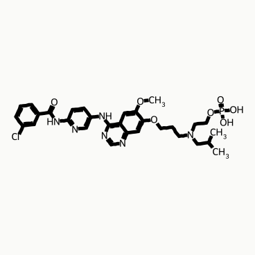 COc1cc2c(Nc3ccc(NC(=O)c4cccc(Cl)c4)nc3)ncnc2cc1OCCCN(CCOP(=O)(O)O)CC(C)C